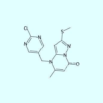 CSc1cc2n(Cc3cnc(Cl)nc3)c(C)cc(=O)n2n1